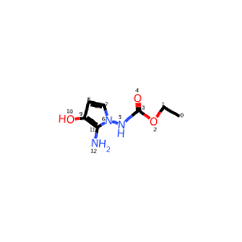 CCOC(=O)Nn1ccc(O)c1N